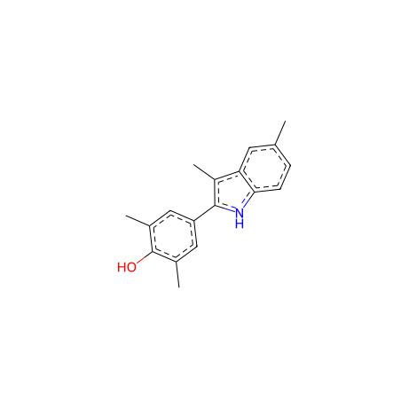 Cc1ccc2[nH]c(-c3cc(C)c(O)c(C)c3)c(C)c2c1